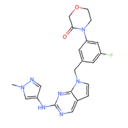 Cn1cc(Nc2ncc3ccn(Cc4cc(F)cc(N5CCOCC5=O)c4)c3n2)cn1